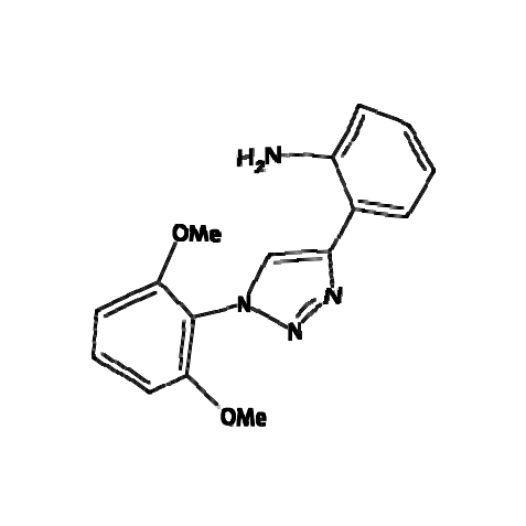 COc1cccc(OC)c1-n1cc(-c2ccccc2N)nn1